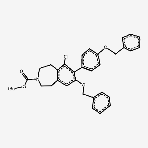 CC(C)(C)OC(=O)N1CCc2cc(OCc3ccccc3)c(-c3ccc(OCc4ccccc4)cc3)c(Cl)c2CC1